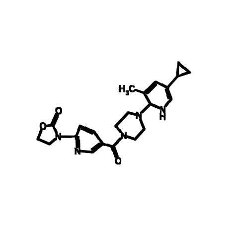 CC1=CC(C2CC2)=CNC1N1CCN(C(=O)c2ccc(N3CCOC3=O)nc2)CC1